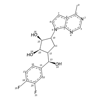 Cc1ncnc2c1ccn2C1CC([C@@H](O)c2ccc(F)c(F)c2)[C@@H](O)[C@H]1O